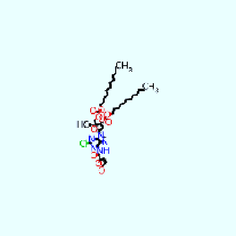 C#C[C@]1(COC(=O)OCCCCCCCCCCCC)O[C@@H](n2cnc3c(NC(=O)[C@H]4CCC(=O)O4)nc(Cl)nc32)C[C@@H]1OC(=O)OCCCCCCCCCCCC